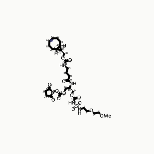 COCCOCCNS(=O)(=O)NC(=O)OC[C@H](COC(=O)ON1C(=O)CCC1=O)NC(=O)CCCNC(=O)OC[C@@H]1[C@@H]2CC/C=C\CC[C@@H]21